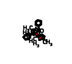 Cc1ccc([C@H](CCN2[C@@H]3CC[C@H]2C[C@H](n2c(C)nnc2C(C)C)C3)NC(=O)c2ccccc2)s1